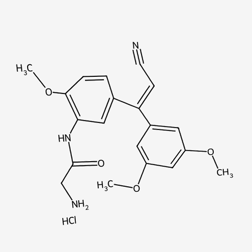 COc1cc(OC)cc(C(=CC#N)c2ccc(OC)c(NC(=O)CN)c2)c1.Cl